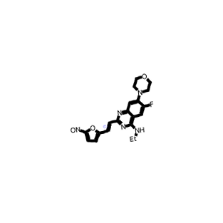 CCNc1nc(/C=C/c2ccc(N=O)o2)nc2cc(N3CCOCC3)c(F)cc12